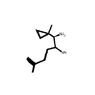 C=C(C)CCC(CCC)[C@H](N)C1(C)CC1